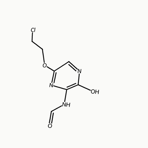 O=CNc1nc(OCCCl)cnc1O